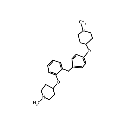 CN1CCC(Oc2ccc(Cc3ccccc3OC3CCN(C)CC3)cc2)CC1